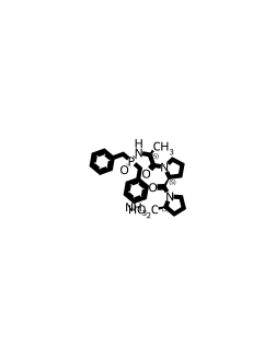 C[C@H](NP(=O)(Cc1ccccc1)Cc1ccccc1)C(=O)N1CCC[C@H]1C(=O)N1CCC[C@H]1C(=O)O.N